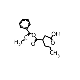 C=C=C(OC(=O)C(CCC)CC(=O)O)c1ccccc1